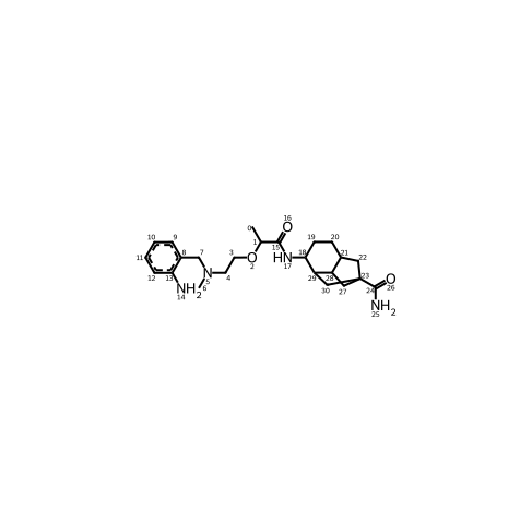 CC(OCCN(C)Cc1ccccc1N)C(=O)NC1CCC2CC3(C(N)=O)CC2C1C3